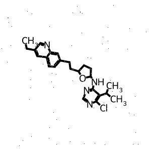 CCc1cnc2cc(CCC3CCC(Nc4ncnc(Cl)c4C(C)C)O3)ccc2c1